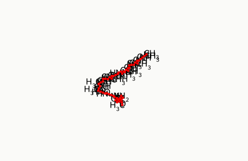 COc1ccc(C(SC[C@H](N)C(=O)NCCCCCC(=O)NCCC(=O)Nc2cn(C)c(C(=O)Nc3cn(C)c(C(=O)Nc4cn(C)c(C(=O)Nc5cc(C(=O)NCCCC(=O)Nc6cc(C(=O)Nc7cc(C(=O)Nc8cn(C)c(C(=O)Nc9cc(C(=O)NCCC(=O)NCCCN(C)C)n(C)c9)n8)n(C)c7)n(C)c6)n(C)c5)n4)n3)n2)(c2ccccc2)c2ccccc2)cc1